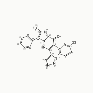 O=c1c(-c2cccc(Cl)c2)c(-c2nn[nH]n2)[nH]n2c(-c3ccccc3)c(C(F)(F)F)nc12